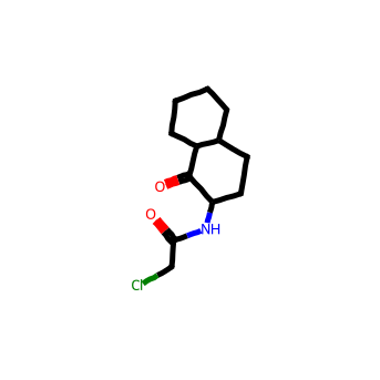 O=C(CCl)NC1CCC2CCCCC2C1=O